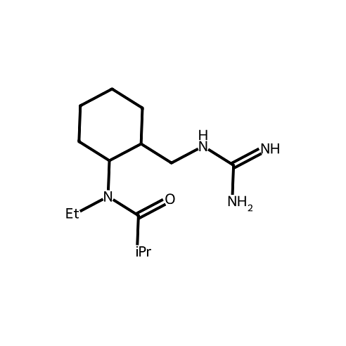 CCN(C(=O)C(C)C)C1CCCCC1CNC(=N)N